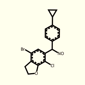 O=NC(c1ccc(C2CC2)cc1)c1cc(Br)c2c(c1Cl)OCC2